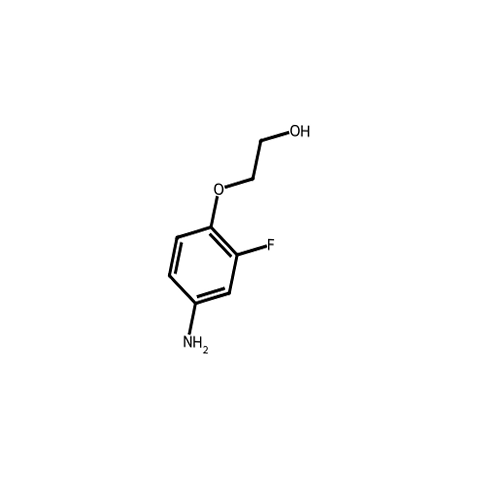 Nc1ccc(OCCO)c(F)c1